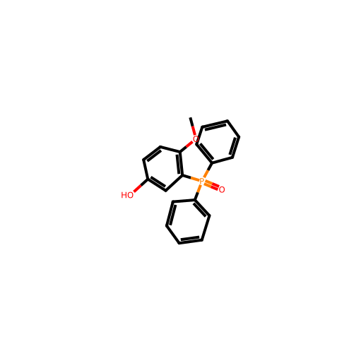 COc1ccc(O)cc1P(=O)(c1ccccc1)c1ccccc1